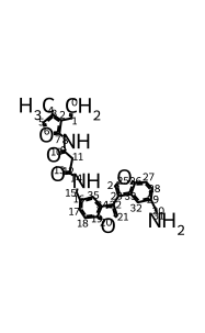 C=Cc1c(C)coc1NC(=O)CC(=O)NCc1ccc2occ(-c3coc4ccc(CN)cc34)c2c1